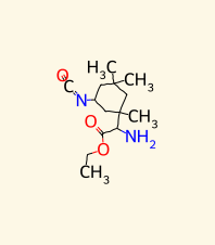 CCOC(=O)C(N)C1(C)CC(N=C=O)CC(C)(C)C1